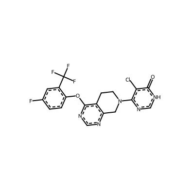 O=c1[nH]cnc(N2CCc3c(ncnc3Oc3ccc(F)cc3C(F)(F)F)C2)c1Cl